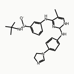 CC1=CNC(Nc2ccc(N3C=NCC3)cc2)N=C1Nc1cccc([S+]([O-])NC(C)(C)C)c1